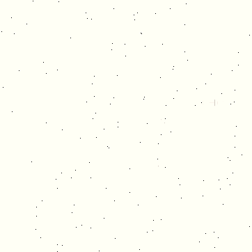 O=[C]CSC(=O)CCC1CCCCC1